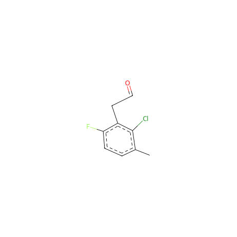 Cc1ccc(F)c(CC=O)c1Cl